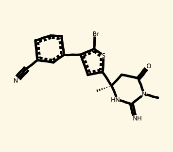 CN1C(=N)N[C@@](C)(c2cc(-c3cccc(C#N)c3)c(Br)s2)CC1=O